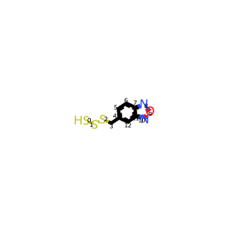 SSSCc1ccc2nonc2c1